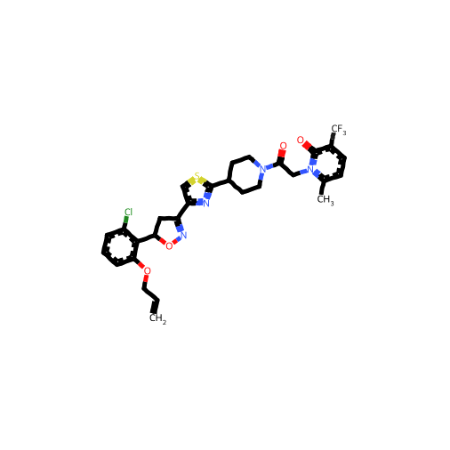 C=CCOc1cccc(Cl)c1C1CC(c2csc(C3CCN(C(=O)Cn4c(C)ccc(C(F)(F)F)c4=O)CC3)n2)=NO1